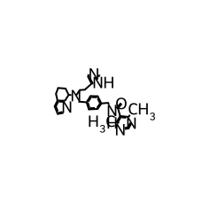 Cc1ncnc(C)c1C(=O)NCc1ccc(CN(CCc2cnc[nH]2)C2CCCc3cccnc32)cc1